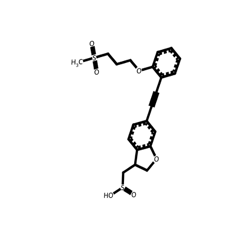 CS(=O)(=O)CCCOc1ccccc1C#Cc1ccc2c(c1)OCC2CS(=O)O